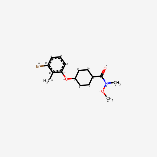 CON(C)C(=O)C1CCC(Oc2cccc(Br)c2C)CC1